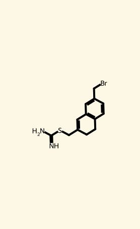 N=C(N)SCC1=Cc2cc(CBr)ccc2CC1